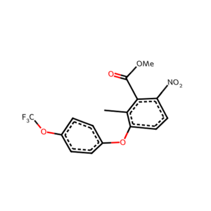 COC(=O)c1c([N+](=O)[O-])ccc(Oc2ccc(OC(F)(F)F)cc2)c1C